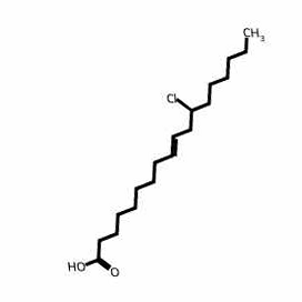 CCCCCCC(Cl)CC=CCCCCCCCC(=O)O